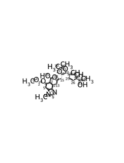 COCOc1cc2c(ncn2C)c(/C=C/C[C@@H]2OC(C)(C)O[C@@H]2C(C)/C=C\[C@@H](C)[C@H](C)O)c1C(=O)O